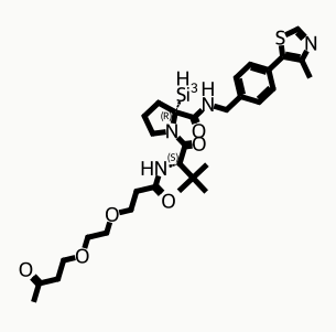 CC(=O)CCOCCOCCC(=O)N[C@H](C(=O)N1CCC[C@@]1([SiH3])C(=O)NCc1ccc(-c2scnc2C)cc1)C(C)(C)C